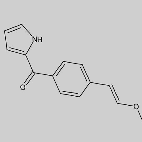 COC=Cc1ccc(C(=O)c2ccc[nH]2)cc1